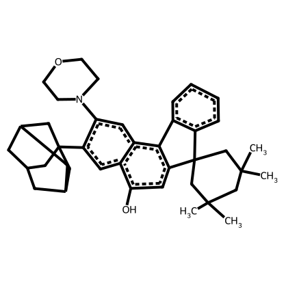 CC1(C)CC(C)(C)CC2(C1)c1ccccc1-c1c2cc(O)c2cc(C34CC5CC(CC(C5)C3)C4)c(N3CCOCC3)cc12